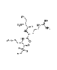 C=CS(=O)(=O)C(=O)C(CCSC)NC(=O)C(CCCNC(=N)N)NC(=O)C(N)CC(C)C